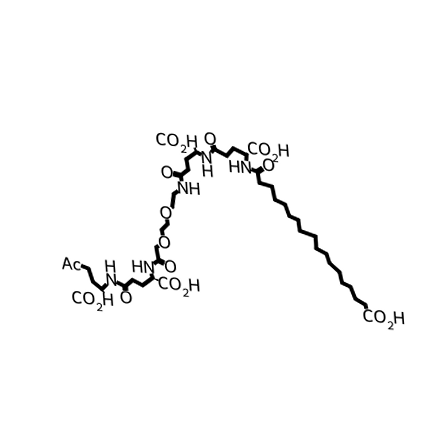 CC(=O)CC[C@H](NC(=O)CC[C@H](NC(=O)COCCOCCNC(=O)CC[C@H](NC(=O)CC[C@H](NC(=O)CCCCCCCCCCCCCCCCC(=O)O)C(=O)O)C(=O)O)C(=O)O)C(=O)O